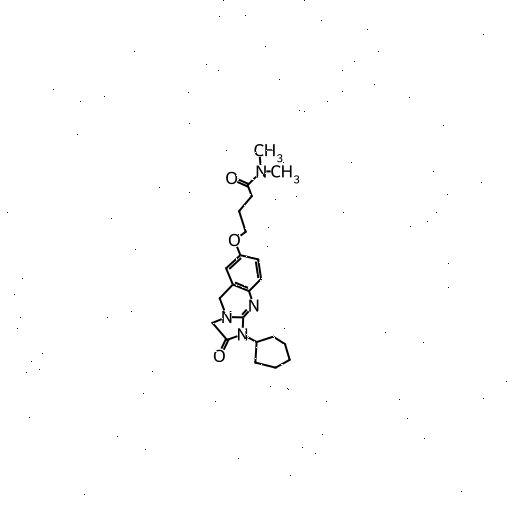 CN(C)C(=O)CCCOc1ccc2c(c1)CN1CC(=O)N(C3CCCCC3)C1=N2